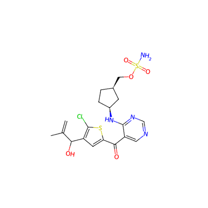 C=C(C)C(O)c1cc(C(=O)c2cncnc2N[C@H]2CC[C@@H](COS(N)(=O)=O)C2)sc1Cl